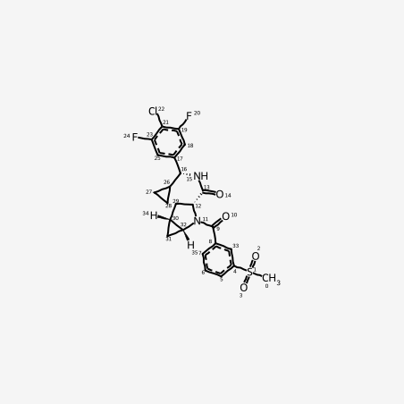 CS(=O)(=O)c1cccc(C(=O)N2[C@@H](C(=O)N[C@@H](c3cc(F)c(Cl)c(F)c3)C3CC3)C[C@H]3C[C@H]32)c1